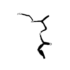 C=CC(=O)OCC(C)NCO